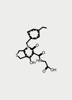 CCc1ccc(Cn2c3c(c(O)c(C(=O)NCC(=O)O)c2=O)CSC3)cc1